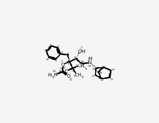 CC(C)(C)[C@](Cc1ccccc1)(OC(N)=O)[C@H](O)CN[C@H]1CC2CCC1C2